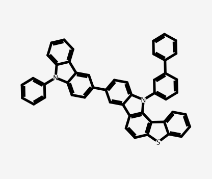 c1ccc(-c2cccc(-n3c4ccc(-c5ccc6c(c5)c5ccccc5n6-c5ccccc5)cc4c4ccc5sc6ccccc6c5c43)c2)cc1